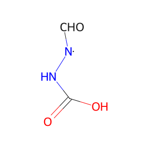 O=C[N]NC(=O)O